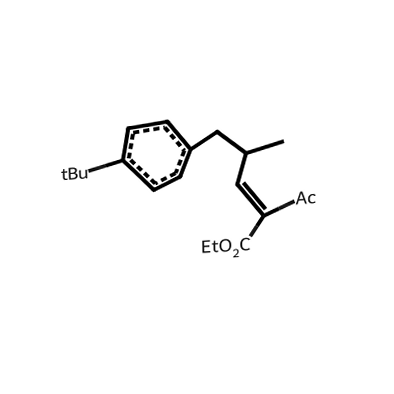 CCOC(=O)C(=CC(C)Cc1ccc(C(C)(C)C)cc1)C(C)=O